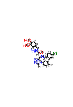 Cc1ccc2c(c1)C(c1ccc(Cl)cc1)=N[C@@H](CC(=O)NCc1ccc(O)c(O)c1)c1nnc(C)n1-2